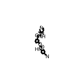 CN1CCc2nc(NC(=O)c3cccc(OCC(=O)Nc4ccc(C#N)cc4)c3)sc2C1